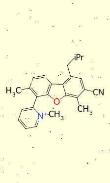 Cc1ccc2c(oc3c(C)c(C#N)cc(CC(C)C)c32)c1-c1cccc[n+]1C